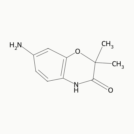 CC1(C)Oc2cc(N)ccc2NC1=O